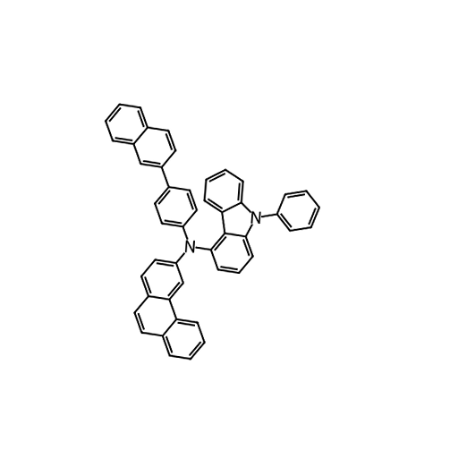 c1ccc(-n2c3ccccc3c3c(N(c4ccc(-c5ccc6ccccc6c5)cc4)c4ccc5ccc6ccccc6c5c4)cccc32)cc1